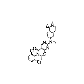 CC1Oc2nc(Nc3ccc4c(c3)CCN(C)C43CC3)ncc2C(=O)N1c1c(Cl)cccc1Cl